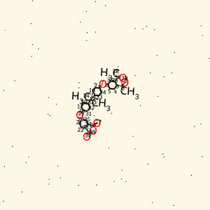 CC(=O)c1ccc(Oc2ccc(C(C)(C)c3ccc(Oc4ccc5c(c4)C(=O)OC5=O)cc3)cc2)cc1C(C)=O